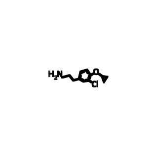 NCCCc1ccc(OC2CC2)c(Cl)c1